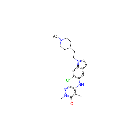 CC(=O)N1CCC(CCn2ccc3cc(Nc4cnn(C)c(=O)c4C)c(Cl)cc32)CC1